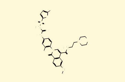 CNc1ccc2c(=O)n(-c3ccc(NC(=O)NS(=O)(=O)c4ccc(Cl)s4)cc3Cl)cc(C(=O)NCCN3CCOCC3)c2c1